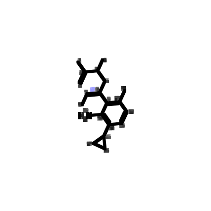 C=C(C)C(C)C/C(=C/C)c1c(C)ccc(C2CC2)c1N